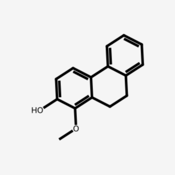 COc1c(O)ccc2c1CCc1ccccc1-2